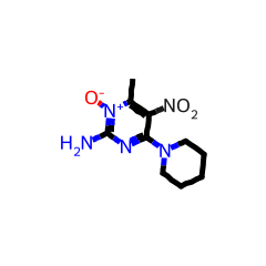 Cc1c([N+](=O)[O-])c(N2CCCCC2)nc(N)[n+]1[O-]